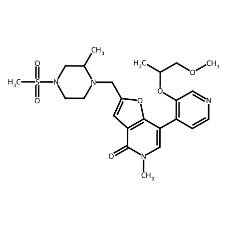 COCC(C)Oc1cnccc1-c1cn(C)c(=O)c2cc(CN3CCN(S(C)(=O)=O)CC3C)oc12